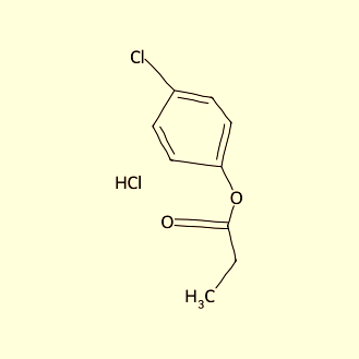 CCC(=O)Oc1ccc(Cl)cc1.Cl